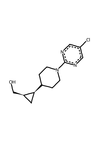 OC[C@@H]1C[C@@H]1C1CCN(c2ncc(Cl)cn2)CC1